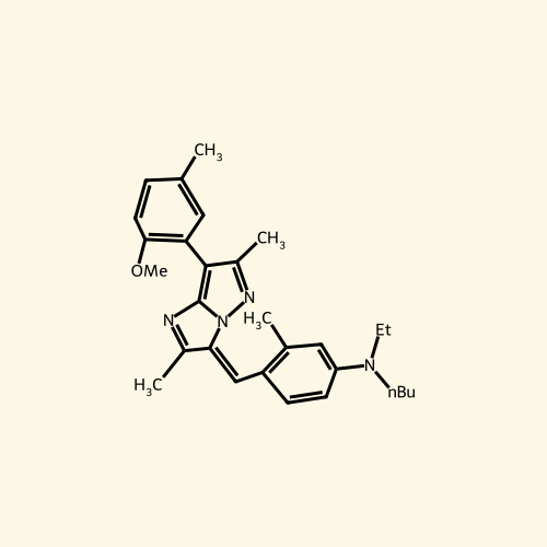 CCCCN(CC)c1ccc(/C=c2/c(C)nc3c(-c4cc(C)ccc4OC)c(C)nn23)c(C)c1